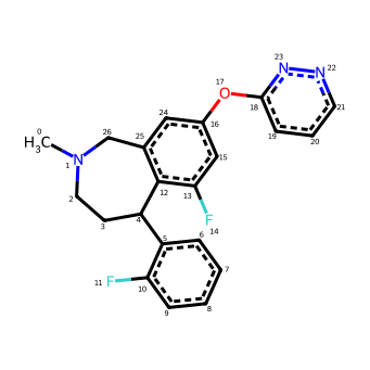 CN1CCC(c2ccccc2F)c2c(F)cc(Oc3cccnn3)cc2C1